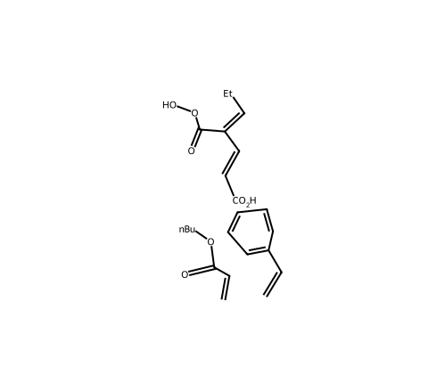 C=CC(=O)OCCCC.C=Cc1ccccc1.CCC=C(C=CC(=O)O)C(=O)OO